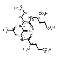 NC(=O)C[C@H](NC(=O)[C@@H](N)CCC(=O)O)C(=O)N[C@@H](CCC(=O)O)C(=O)N[C@@H](CCC(=O)O)C(=O)O